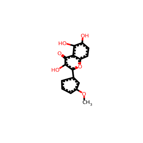 COc1cccc(-c2oc3ccc(O)c(O)c3c(=O)c2O)c1